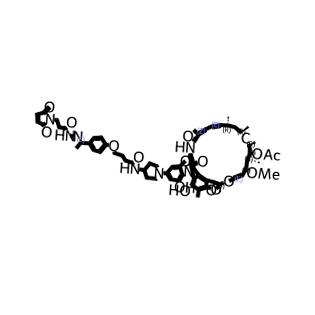 CO[C@H]1/C=C/O[C@@]2(C)Oc3c(C)c(O)c4c(=O)c(c5oc6cc(N7CCC(NC(=O)CCCOc8ccc(/C(C)=N/NC(=O)CCN9C(=O)C=CC9=O)cc8)CC7)cc(O)c6nc-5c4c3C2=O)NC(=O)/C(C)=C\C=C\[C@H](C)C[C@@H](C)C[C@@H](C)[C@H](OC(C)=O)[C@@H]1C